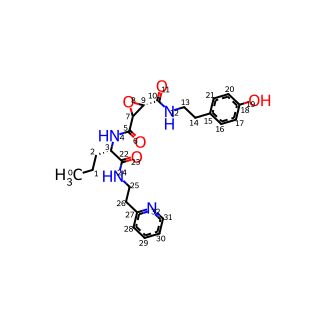 CCC[C@H](NC(=O)C1O[C@@H]1C(=O)NCCc1ccc(O)cc1)C(=O)NCCc1ccccn1